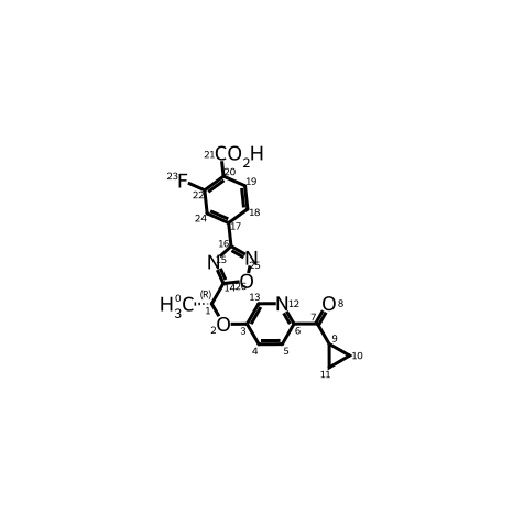 C[C@@H](Oc1ccc(C(=O)C2CC2)nc1)c1nc(-c2ccc(C(=O)O)c(F)c2)no1